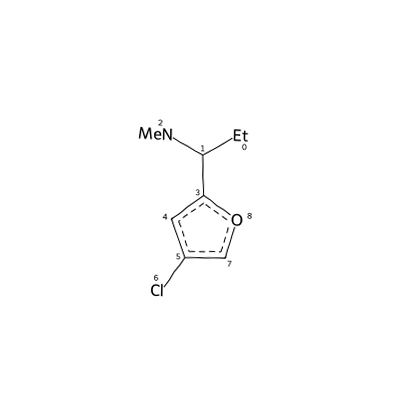 CCC(NC)c1cc(Cl)co1